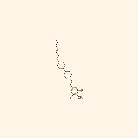 FCCC=CCCC1CCC(C2CCC(CCc3cc(F)c(C(F)(F)F)c(F)c3)CC2)CC1